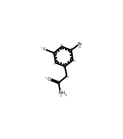 NC(=O)Cc1cc(F)cc(Br)c1